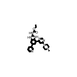 CCOC(=O)NC1Nc2cc(-c3cccnc3)cc(-c3cc(N4CCN(C)CC4)ncn3)c2N1